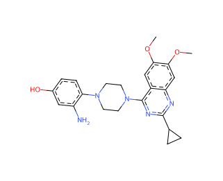 COc1cc2nc(C3CC3)nc(N3CCN(c4ccc(O)cc4N)CC3)c2cc1OC